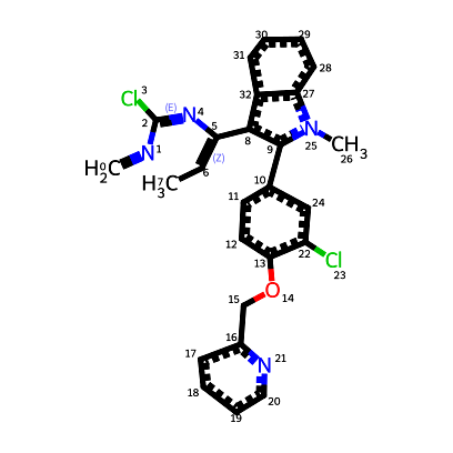 C=N/C(Cl)=N\C(=C/C)c1c(-c2ccc(OCc3ccccn3)c(Cl)c2)n(C)c2ccccc12